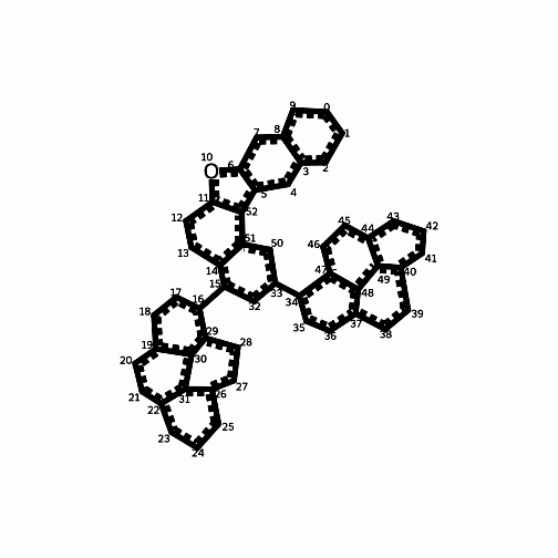 c1ccc2cc3c(cc2c1)oc1ccc2c(-c4ccc5ccc6cccc7ccc4c5c67)cc(-c4ccc5ccc6cccc7ccc4c5c67)cc2c13